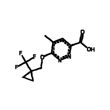 Cc1cc(C(=O)O)nnc1OCC1(C(F)(F)F)CC1